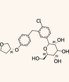 OC[C@H]1OC(c2ccc(Cl)c(Cc3ccc(O[C@@H]4CCOC4)cc3)c2)[C@H](O)C(O)[C@@H]1O